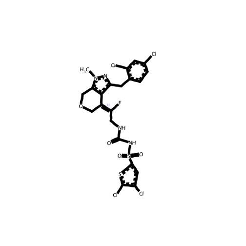 Cn1nc(Cc2ccc(Cl)cc2Cl)c2c1COC/C2=C(/F)CNC(=O)NS(=O)(=O)c1cc(Cl)c(Cl)s1